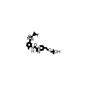 Cc1ccc(-c2noc([C@H]3C[C@@H]3F)n2)cc1NC(=O)c1cnc2cc(CCOCC(C)(C)O)ccn12